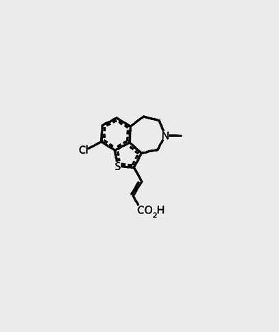 CN1CCc2ccc(Cl)c3sc(/C=C/C(=O)O)c(c23)C1